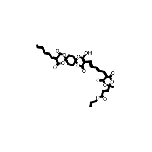 C/C=C/C=C/C=C1C(=O)OC2(CCC3(CC2)OC(=O)C(/C=C/C=C/C=C2C(=O)OC(C)(CCC(=O)OCCC)OC2=O)=C(O)O3)OC1=O